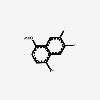 CCc1cnc(OC)c2cc(F)c(F)cc12